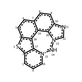 c1cc2sc3ccc4ccc5ncn6[nH][n+](c1)c2c3c4c56